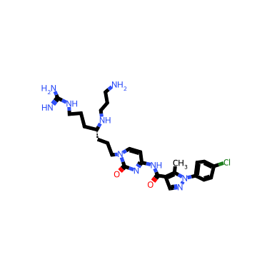 Cc1c(C(=O)Nc2ccn(CCC[C@H](CCCNC(=N)N)NCCCN)c(=O)n2)cnn1-c1ccc(Cl)cc1